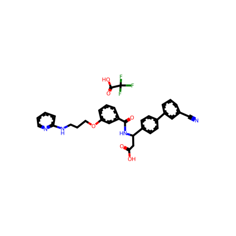 N#Cc1cccc(-c2ccc(C(CC(=O)O)NC(=O)c3cccc(OCCCNc4ccccn4)c3)cc2)c1.O=C(O)C(F)(F)F